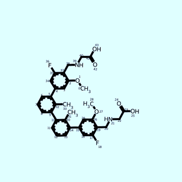 COc1cc(-c2cccc(-c3cccc(-c4cc(F)c(CNCC(=O)O)c(OC)c4)c3C)c2C)cc(F)c1CNCC(=O)O